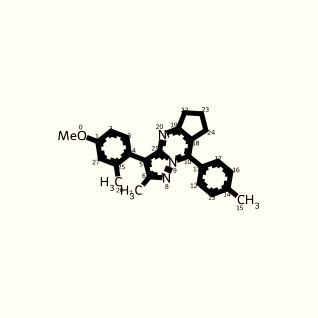 COc1ccc(-c2c(C)nn3c(-c4ccc(C)cc4)c4c(nc23)CCC4)c(C)c1